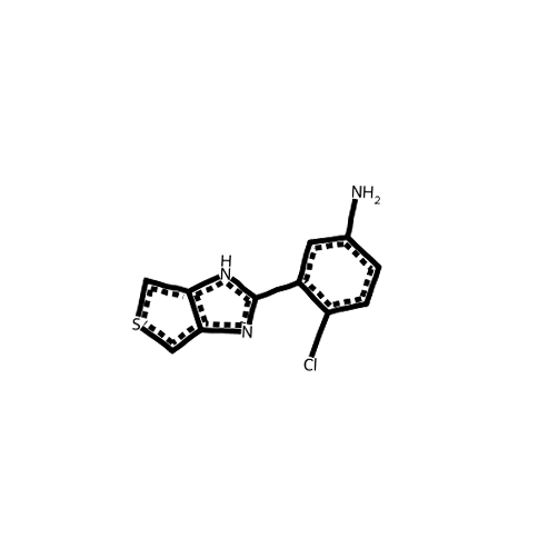 Nc1ccc(Cl)c(-c2nc3cscc3[nH]2)c1